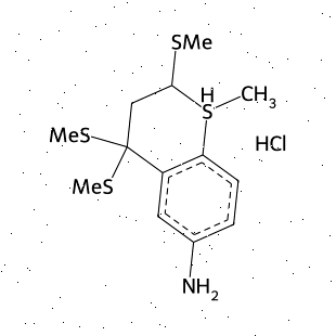 CSC1CC(SC)(SC)c2cc(N)ccc2[SH]1C.Cl